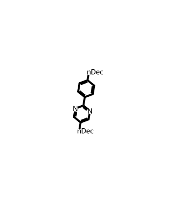 CCCCCCCCCCc1ccc(-c2ncc(CCCCCCCCCC)cn2)cc1